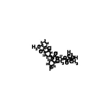 Cc1ccccc1C(=O)c1ccc(N(C(=O)OCCOC(=O)C(C)(C)O)c2ccc(F)cc2C)cc1Cl